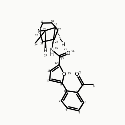 CC(=O)c1ccccc1-c1ccc(C(=O)N[C@@H]2C3CCN(CC3)[C@H]2C)o1